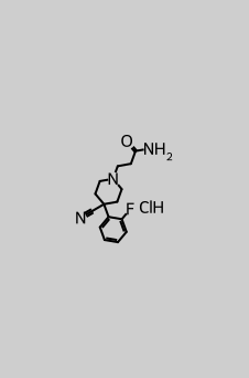 Cl.N#CC1(c2ccccc2F)CCN(CCC(N)=O)CC1